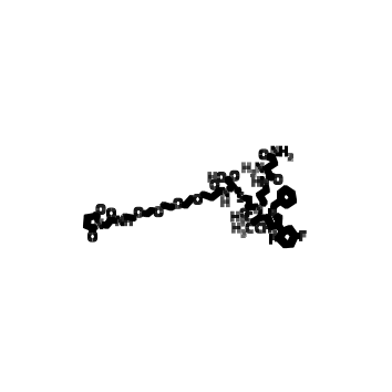 CC(C)(C)[C@H](c1cc(-c2cc(F)ccc2F)cn1Cc1ccccc1)N(CCCNC(=O)[C@@H](N)CC(N)=O)C(=O)CSC[C@H](NC(=O)CCOCCOCCOCCOCCNC(=O)CN1C(=O)C=CC1=O)C(=O)O